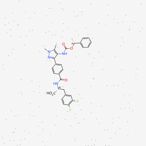 Cc1c(NC(=O)O[C@H](C)c2ccccc2)c(-c2ccc(C(=O)N[C@H](Cc3ccc(F)c(F)c3)C(=O)O)cc2)nn1C